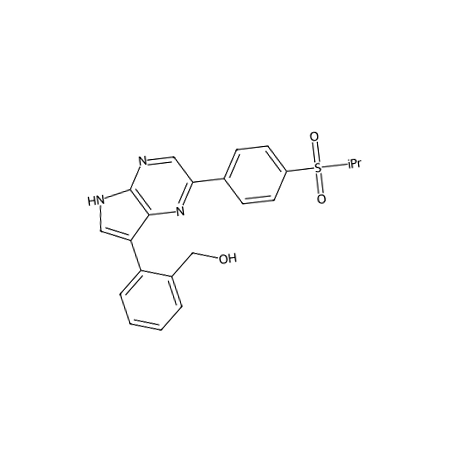 CC(C)S(=O)(=O)c1ccc(-c2cnc3[nH]cc(-c4ccccc4CO)c3n2)cc1